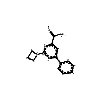 NC(=O)c1cc(-c2ccccc2)nc(N2CCC2)n1